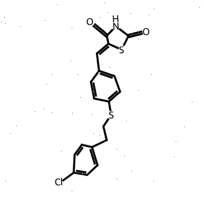 O=C1NC(=O)C(=Cc2ccc(SCCc3ccc(Cl)cc3)cc2)S1